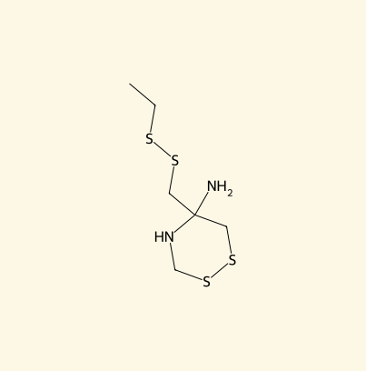 CCSSCC1(N)CSSCN1